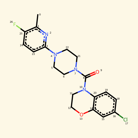 Cc1nc(N2CCN(C(=O)N3CCOc4cc(Cl)ccc43)CC2)ccc1F